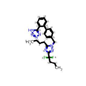 CCCCc1nc(C(F)(F)CCC)nn1Cc1ccc(-c2ccccc2-c2nnn[nH]2)cc1